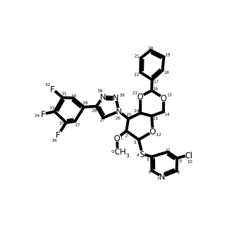 COC1C(Sc2cncc(Cl)c2)OC2COC(c3ccccc3)OC2C1n1cc(-c2cc(F)c(F)c(F)c2)nn1